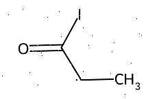 C[CH]C(=O)I